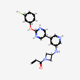 C=CC(=O)N1CC(Nc2cncc(-c3cnc(Oc4cccc(F)c4)nc3)c2)C1